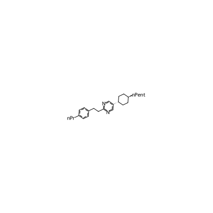 CCCCC[C@H]1CC[C@H](c2cnc(CCc3ccc(CCC)cc3)nc2)CC1